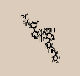 CN(C)CCNc1cc(F)cc(-c2ccnc3[nH]c(-c4n[nH]c5cnc(-c6cncc(CNCC7CCCC7)c6)c(F)c45)nc23)c1